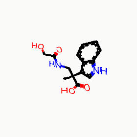 CC(CNC(=O)CO)(C(=O)O)c1c[nH]c2ccccc12